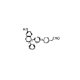 C=C(/C=C\C(=C/C)N1CCC(CC=O)CC1)[C@@H]1c2ccc(O)cc2CC[C@@H]1c1ccccc1